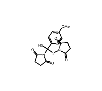 COc1ccc(C(S)(SN2C(=O)CCC2=O)N2C(=O)CCC2=O)cc1